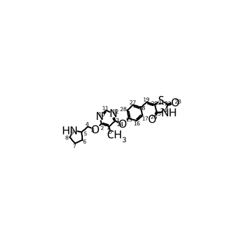 Cc1c(OCC2CCCN2)ncnc1Oc1ccc(C=C2SC(=O)NC2=O)cc1